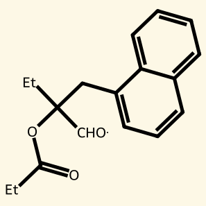 CCC(=O)OC([C]=O)(CC)Cc1cccc2ccccc12